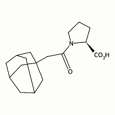 O=C(O)[C@@H]1CCCN1C(=O)CC12CC3CC(CC(C3)C1)C2